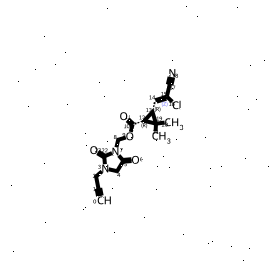 C#CCN1CC(=O)N(COC(=O)[C@@H]2[C@H](/C=C(\Cl)C#N)C2(C)C)C1=O